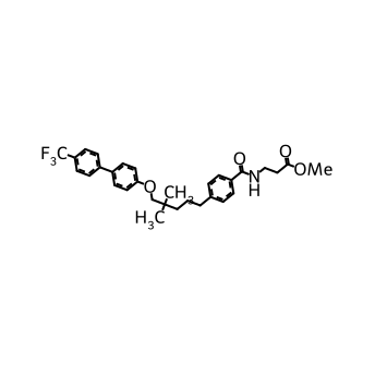 COC(=O)CCNC(=O)c1ccc(CCCC(C)(C)COc2ccc(-c3ccc(C(F)(F)F)cc3)cc2)cc1